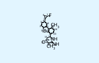 CCC(C)c1ccc(C2CC2F)cc1-c1cc(C2C[S+]([O-])C(C)C(=N)N2)ccc1C